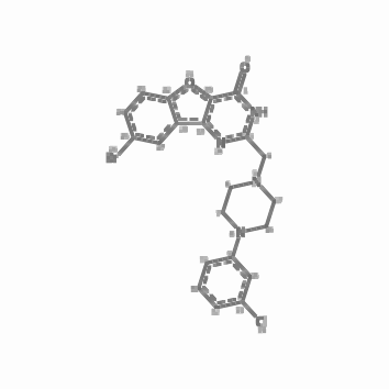 O=c1[nH]c(CN2CCN(c3cccc(Cl)c3)CC2)nc2c1oc1ccc(Br)cc12